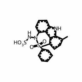 Cc1ccc(C)c2c1[nH]c1cccc(N(NS(=O)(=O)O)S(=O)(=O)c3ccccc3)c12